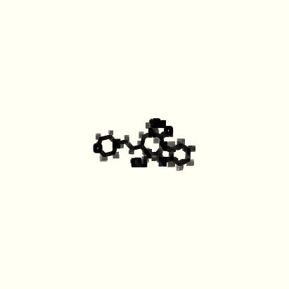 CC(C)(C)N1CC(CCN2CCOCC2)N(C(C)(C)C)c2nc3ccccc3n2C1=O